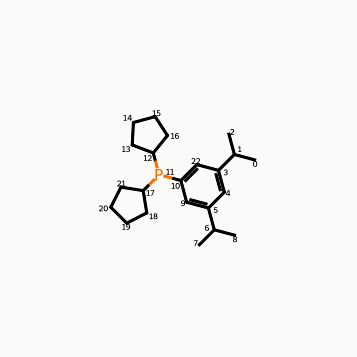 CC(C)c1cc(C(C)C)cc(P(C2CCCC2)C2CCCC2)c1